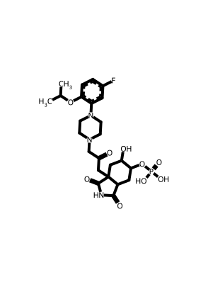 CC(C)Oc1ccc(F)cc1N1CCN(CC(=O)CC23CC(O)C(OP(=O)(O)O)CC2C(=O)NC3=O)CC1